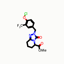 COC(=O)C1CCCc2nn(Cc3ccc(OCl)c(C(F)(F)F)c3)c(=O)n21